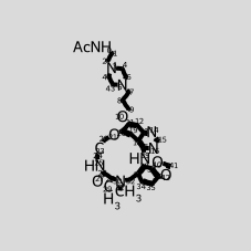 CC(=O)NCCN1CCN(CCCOc2cc3ncnc4c3cc2OCCCNC(=O)[C@H](C)N(C)Cc2ccc3c(c2N4)OCO3)CC1